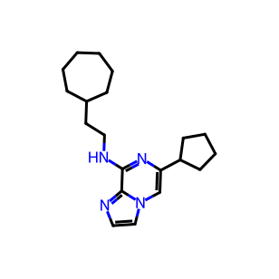 c1cn2cc(C3CCCC3)nc(NCCC3CCCCCC3)c2n1